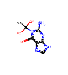 CCCC(O)(O)n1c(N)nc2[nH]cnc2c1=O